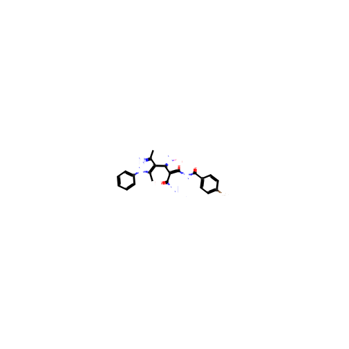 Cc1nn(-c2ccccc2)c(C)c1-c1noc(NC(=O)c2ccc(Br)cc2)c1C(N)=O